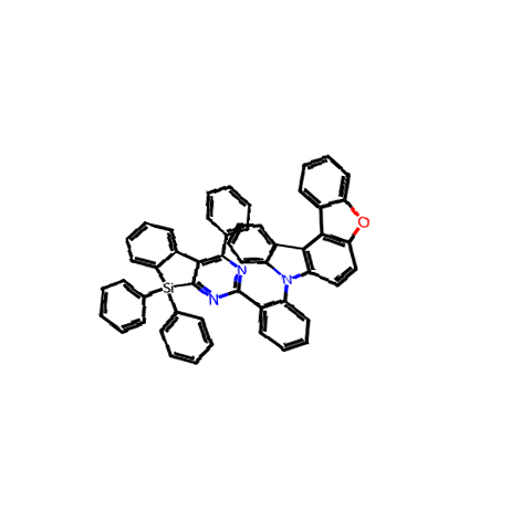 c1ccc(-c2nc(-c3ccccc3-n3c4ccccc4c4c5c(ccc43)oc3ccccc35)nc3c2-c2ccccc2[Si]3(c2ccccc2)c2ccccc2)cc1